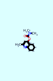 Cc1cc(OC(=O)N(C)C)c2c(n1)CCCC2